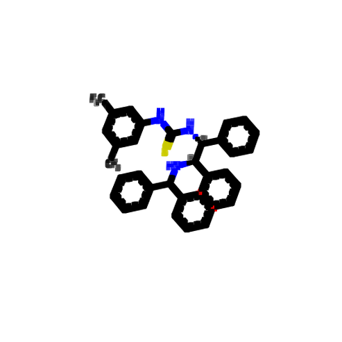 FC(F)(F)c1cc(NC(=S)N[C@H](c2ccccc2)[C@H](NC(c2ccccc2)c2ccccc2)c2ccccc2)cc(C(F)(F)F)c1